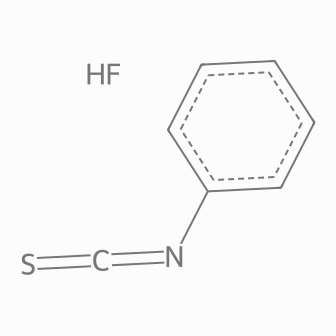 F.S=C=Nc1ccccc1